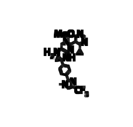 COc1ncnc(C2CC2)c1-c1ncc(N)c(NC2(c3ccc(-c4nc(C(F)(F)F)cn4C)cc3)CC2)n1